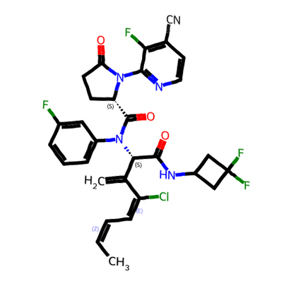 C=C(/C(Cl)=C\C=C/C)[C@@H](C(=O)NC1CC(F)(F)C1)N(C(=O)[C@@H]1CCC(=O)N1c1nccc(C#N)c1F)c1cccc(F)c1